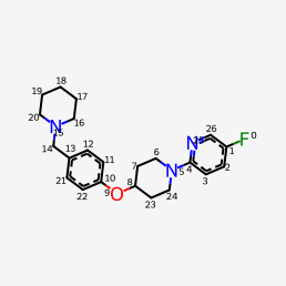 Fc1ccc(N2CCC(Oc3ccc(CN4CCCCC4)cc3)CC2)nc1